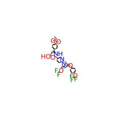 CCS(=O)(=O)c1ccc([C@H](CCO)NC(=O)c2ccc(N3C[C@@H](Oc4ccc(OC(F)(F)F)cc4)C[C@H]3COC(F)F)nc2)cc1